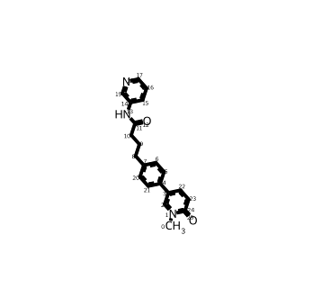 Cn1cc(-c2ccc(CCCC(=O)Nc3cccnc3)cc2)ccc1=O